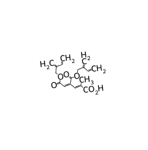 C=CC(=C)COC(=O)C=C(C=C(C)C(=O)O)C(=O)OCC(=C)C=C